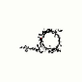 C=CCOC(=O)OCCO[C@@H]1CC[C@@H](C[C@@H](C)[C@@H]2CC(=O)[C@H](C)/C=C(\C)[C@@H](O)[C@@H](OC)C(=O)[C@H](C)C[C@H](C)/C=C/C=C/C=C(\C)[C@@H](OC)C[C@@H]3CC[C@@H](C)[C@@](O)(O3)C(=O)C(=O)N3CCCC[C@H]3C(=O)O2)C[C@H]1OC